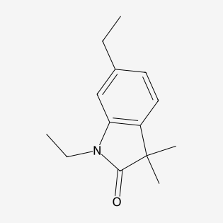 CCc1ccc2c(c1)N(CC)C(=O)C2(C)C